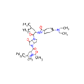 CCN(CC)c1ccc(C(=O)NC(CC(C)C)C(=O)N2CCC3C2C(=O)CN3C(=O)C(CC(C)C)NC(C)=O)cc1